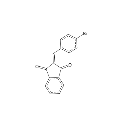 O=C1C(=Cc2ccc(Br)cc2)C(=O)c2ccccc21